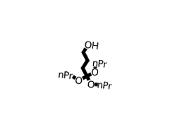 CCCOC(CCCO)(OCCC)OCCC